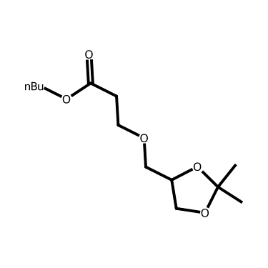 CCCCOC(=O)CCOCC1COC(C)(C)O1